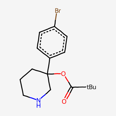 CC(C)(C)C(=O)OC1(c2ccc(Br)cc2)CCCNC1